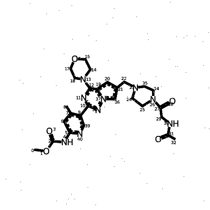 COC(=O)Nc1cc(C)c(-c2nc(N3CCOCC3)c3cc(CN4CCN(C(=O)CNC(C)=O)CC4)cn3n2)cn1